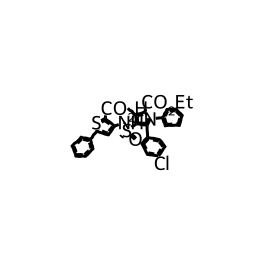 C=S(=O)(Nc1cc(-c2ccccc2)sc1C(=O)O)c1c(C)c(C(=O)OCC)n(-c2ccccc2)c1-c1ccc(Cl)cc1